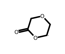 O=C1COC[CH]O1